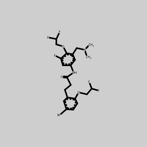 CN(C)Cc1cc(NC(=O)CCc2cc(Br)ccc2OCC(F)F)cc(F)c1OCC(F)F